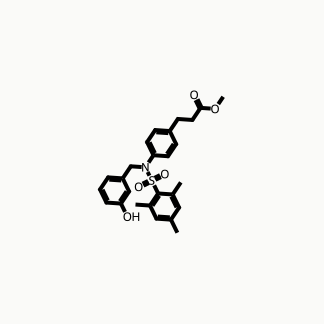 COC(=O)CCc1ccc(N(Cc2cccc(O)c2)S(=O)(=O)c2c(C)cc(C)cc2C)cc1